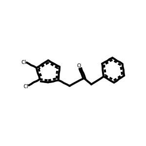 O=C(Cc1ccccc1)Cc1ccc(Cl)c(Cl)c1